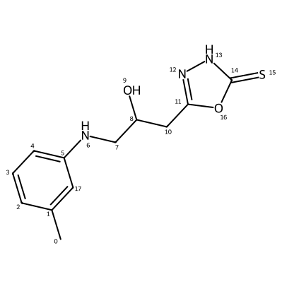 Cc1cccc(NCC(O)Cc2n[nH]c(=S)o2)c1